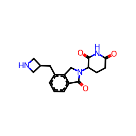 O=C1CCC(N2Cc3c(CC4CNC4)cccc3C2=O)C(=O)N1